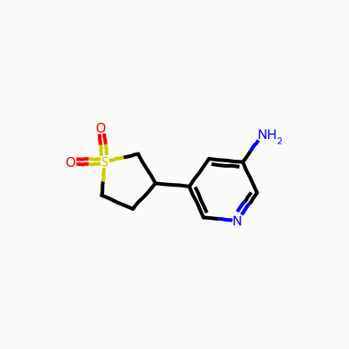 Nc1cncc(C2CCS(=O)(=O)C2)c1